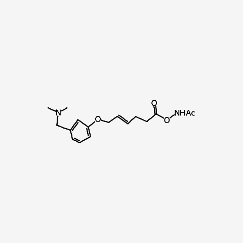 CC(=O)NOC(=O)CC/C=C/COc1cccc(CN(C)C)c1